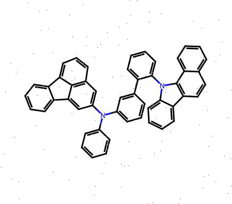 c1ccc(N(c2cccc(-c3ccccc3-n3c4ccccc4c4ccc5ccccc5c43)c2)c2cc3c4c(cccc4c2)-c2ccccc2-3)cc1